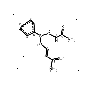 NC(=O)C=COB(ONC(N)=S)c1ccccc1